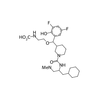 CNCC(CC1CCCCC1)NC(=O)N1CCCC(C(OCCNC(=O)O)c2cc(F)cc(F)c2O)C1